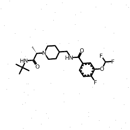 C[C@@H](C(=O)NC(C)(C)C)N1CCC(CNC(=O)c2ccc(F)c(OC(F)F)c2)CC1